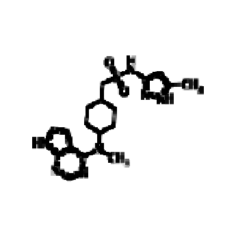 Cc1cc(NS(=O)(=O)CC2CCC(N(C)c3ncnc4[nH]ccc34)CC2)n[nH]1